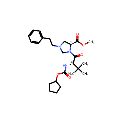 COC(=O)[C@@H]1CN(CCc2ccccc2)CN1C(=O)[C@@H](NC(=O)OC1CCCC1)C(C)(C)C